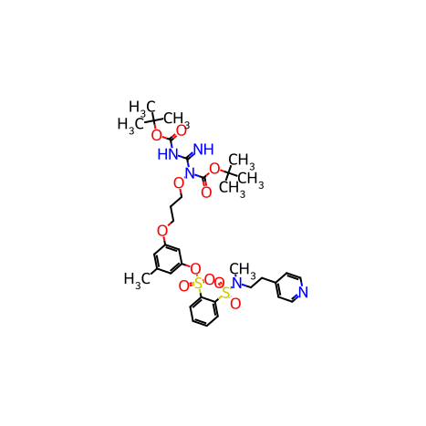 Cc1cc(OCCCON(C(=N)NC(=O)OC(C)(C)C)C(=O)OC(C)(C)C)cc(OS(=O)(=O)c2ccccc2S(=O)(=O)N(C)CCc2ccncc2)c1